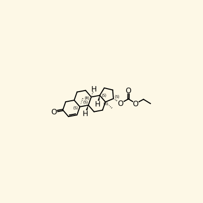 CCOC(=O)O[C@H]1CC[C@H]2[C@@H]3CCC4CC(=O)C=C[C@]4(C)[C@H]3CC[C@]12C